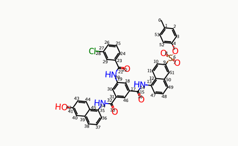 Cc1ccc(OS(=O)(=O)c2ccc3c(NC(=O)c4cc(NC(=O)c5cccc(Cl)c5)cc(C(=O)Nc5cccc6cc(O)ccc56)c4)cccc3c2)cc1